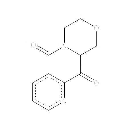 O=[C]N1CCOCC1C(=O)c1ccccn1